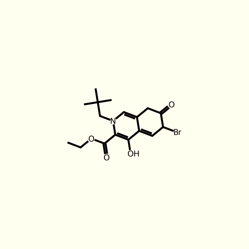 CCOC(=O)C1=C(O)C2=CC(Br)C(=O)CC2=CN1CC(C)(C)C